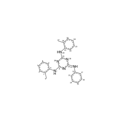 Cc1ccccc1Nc1nc(Nc2ccccc2)nc(Nc2ccccc2C)n1